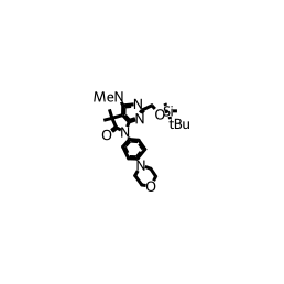 CNc1nc(CO[Si](C)(C)C(C)(C)C)nc2c1C(C)(C)C(=O)N2c1ccc(N2CCOCC2)cc1